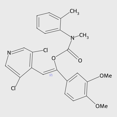 COc1ccc(/C(=C/c2c(Cl)cncc2Cl)OC(=O)N(C)c2ccccc2C)cc1OC